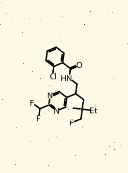 CCC(C)(CF)CC(CNC(=O)c1ccccc1Cl)c1cnc(C(F)F)nc1